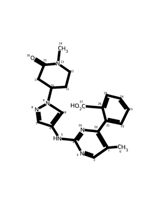 Cc1cnc(Nc2cnn(C3CCN(C)C(=O)C3)c2)nc1-c1ccccc1C(=O)O